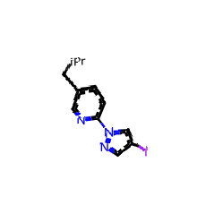 CC(C)Cc1ccc(-n2cc(I)cn2)nc1